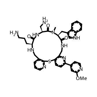 COc1cc(-c2ccc3c(n2)CNC(=O)[C@H](Cc2c[nH]c4ccccc24)N(C)C(=O)[C@H](CN)NC(=O)[C@H](CCCN)NCc2cccnc2S3)ccn1